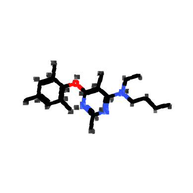 CCCCN(CC)c1nc(C)nc(Oc2c(C)cc(C)cc2C)c1C